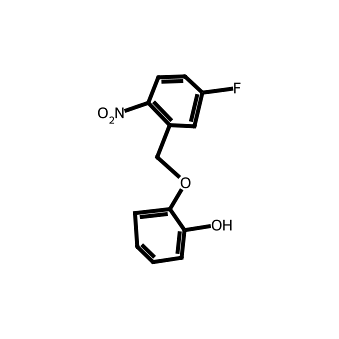 O=[N+]([O-])c1ccc(F)cc1COc1ccccc1O